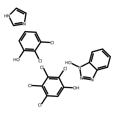 Oc1cc(Cl)c(Cl)c(Cl)c1Cl.Oc1cccc(Cl)c1Cl.On1nnc2ccccc21.c1c[nH]cn1